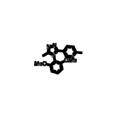 COc1cccc(OC)c1-n1c(C)nnc1-c1ccc(C)nc1